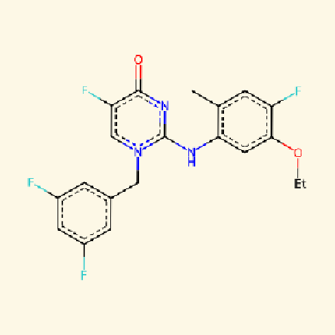 CCOc1cc(Nc2nc(=O)c(F)cn2Cc2cc(F)cc(F)c2)c(C)cc1F